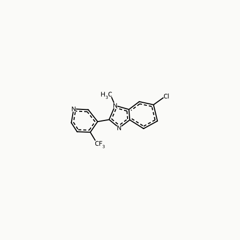 Cn1c(-c2cnccc2C(F)(F)F)nc2ccc(Cl)cc21